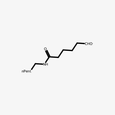 [CH2]CCCCCNC(=O)CCCC[C]=O